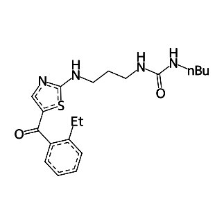 CCCCNC(=O)NCCCNc1ncc(C(=O)c2ccccc2CC)s1